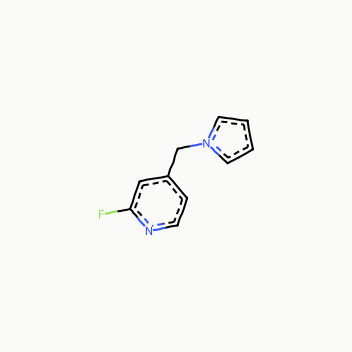 Fc1cc(Cn2cccc2)ccn1